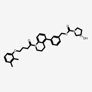 Cc1cccc(OCCCC(=O)N2CCCc3c(-c4cccc(COC(=O)N5CC[C@H](O)C5)c4)cccc32)c1C